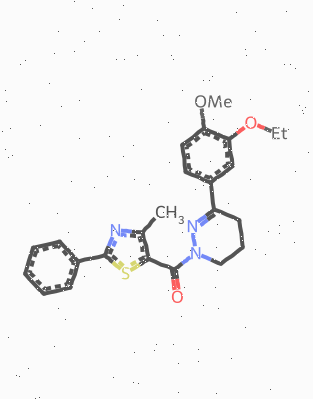 CCOc1cc(C2=NN(C(=O)c3sc(-c4ccccc4)nc3C)CCC2)ccc1OC